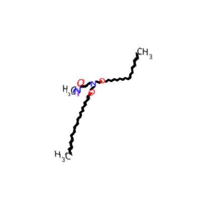 CCCCCCCC/C=C\CCCCCCCCOCCN(CCOCCCCCCCCCCCCCCCCCCC)CCC(=O)N(C)I